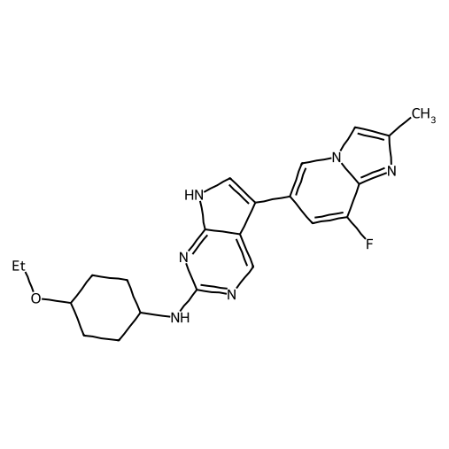 CCOC1CCC(Nc2ncc3c(-c4cc(F)c5nc(C)cn5c4)c[nH]c3n2)CC1